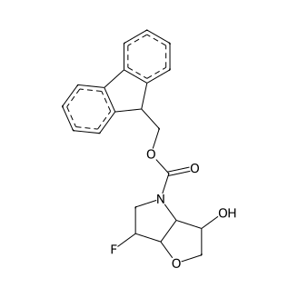 O=C(OCC1c2ccccc2-c2ccccc21)N1CC(F)C2OCC(O)C21